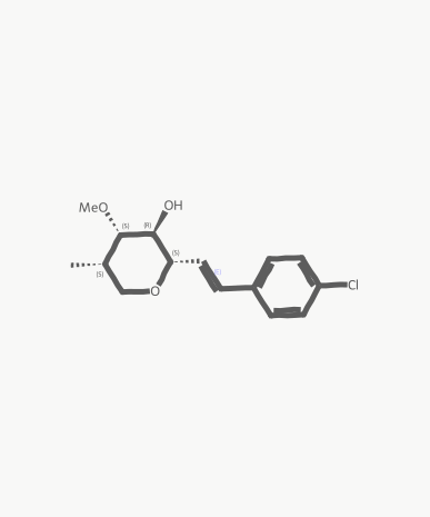 CO[C@@H]1[C@@H](O)[C@H](/C=C/c2ccc(Cl)cc2)OC[C@@H]1C